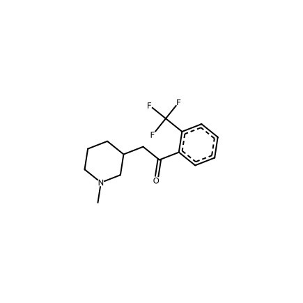 CN1CCCC(CC(=O)c2ccccc2C(F)(F)F)C1